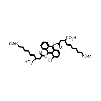 CCCCCCCCCCCCCCC=CC(CC(=O)Oc1c2ccccc2c(OC(=O)CC(C=CCCCCCCCCCCCCCC)C(=O)O)c2c(CC)cccc12)C(=O)O